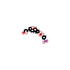 CC12CCC(OC(=O)Oc3ccc([N+](=O)[O-])cc3)CC1CCC1[C@@H]2CCC2(C)C(c3ccc(=O)oc3)CCC12O